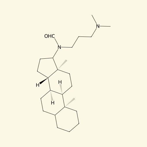 CN(C)CCCN(C=O)C1CC[C@H]2[C@@H]3CCC4CCCC[C@]4(C)[C@@H]3CC[C@]12C